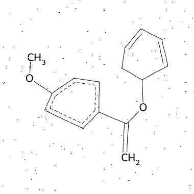 C=C(OC1C=CC=CC1)c1ccc(OC)cc1